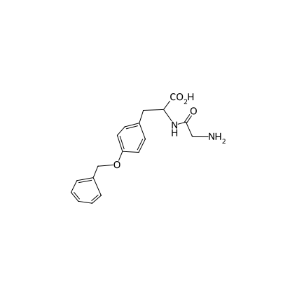 NCC(=O)NC(Cc1ccc(OCc2ccccc2)cc1)C(=O)O